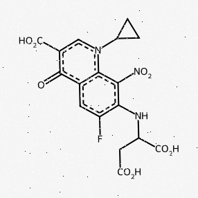 O=C(O)CC(Nc1c(F)cc2c(=O)c(C(=O)O)cn(C3CC3)c2c1[N+](=O)[O-])C(=O)O